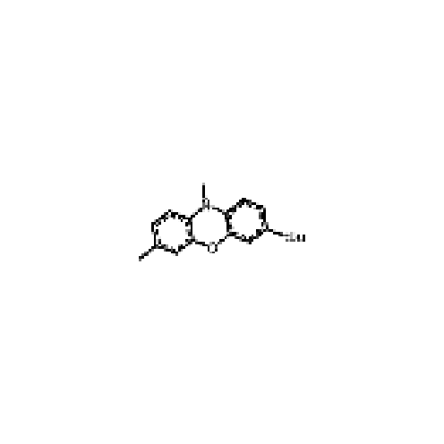 Cc1ccc2c(c1)Oc1cc(C(C)(C)C)ccc1N2C